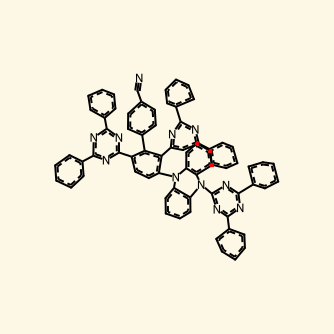 N#Cc1ccc(-c2c(-c3nc(-c4ccccc4)nc(-c4ccccc4)n3)ccc(N3c4ccccc4N(c4nc(-c5ccccc5)nc(-c5ccccc5)n4)c4ccccc43)c2-c2cc(-c3ccccc3)nc(-c3ccccc3)n2)cc1